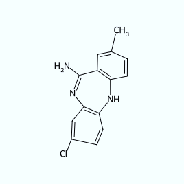 Cc1ccc2c(c1)C(N)=Nc1cc(Cl)ccc1N2